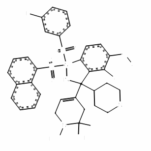 COc1ccc2c(c1Cl)C(C1=CCN(C)C(C)(C)C1)(C1CCNCC1)N[N+]2(S(=O)(=O)c1cccc(F)c1)S(=O)(=O)c1cccc2ccccc12